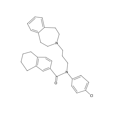 O=C(c1ccc2c(c1)CCCC2)N(CCCN1CCc2ccccc2CC1)c1ccc(Cl)cc1